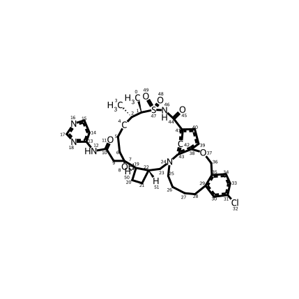 C[C@@H]1[C@@H](C)CCC[C@](O)(CC(=O)Nc2ccncn2)[C@@H]2CC[C@H]2CN2CCCCc3cc(Cl)ccc3COc3ccc(cc32)C(=O)NS1(=O)=O